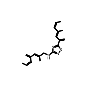 C=C(/C=C\C)/C=C(\C)CNc1nsc(C(=C)/C=C(C)/C=C\C)n1